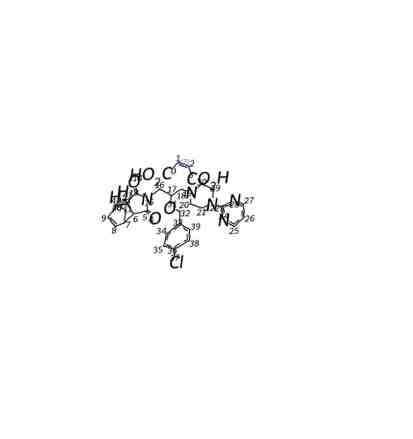 O=C(O)/C=C\C(=O)O.O=C1C2C3C=C[C@@H](C3)[C@@H]2C(=O)N1CC(CN1CCN(c2ncccn2)CC1)OCc1ccc(Cl)cc1